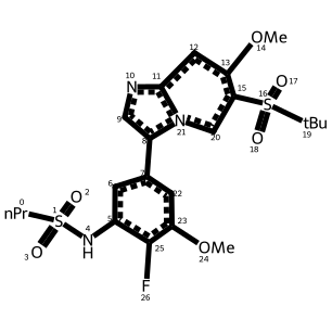 CCCS(=O)(=O)Nc1cc(-c2cnc3cc(OC)c(S(=O)(=O)C(C)(C)C)cn23)cc(OC)c1F